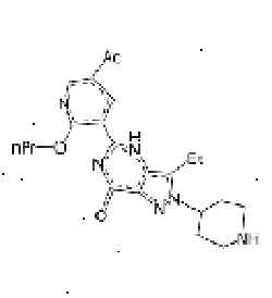 CCCOc1ncc(C(C)=O)cc1-c1nc(=O)c2nn(C3CCNCC3)c(CC)c2[nH]1